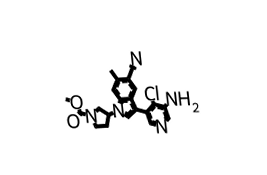 COC(=O)N1CCC(n2cc(-c3cncc(N)c3Cl)c3cc(C#N)c(C)cc32)C1